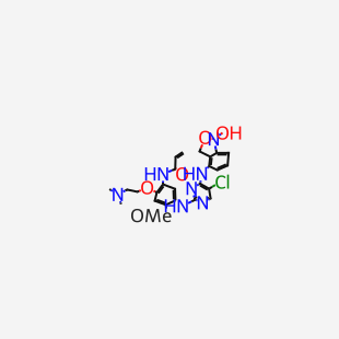 C=CC(=O)Nc1cc(Nc2ncc(Cl)c(Nc3cccc4c3CON4O)n2)c(OC)cc1OCCN(C)C